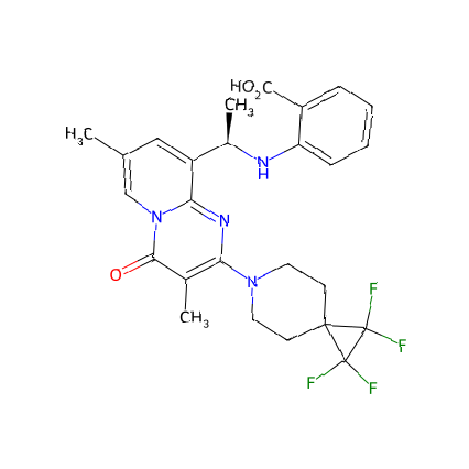 Cc1cc([C@@H](C)Nc2ccccc2C(=O)O)c2nc(N3CCC4(CC3)C(F)(F)C4(F)F)c(C)c(=O)n2c1